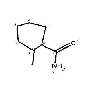 CN1CCC[CH]C1C(N)=O